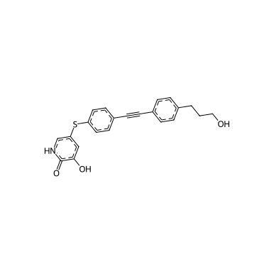 O=c1[nH]cc(Sc2ccc(C#Cc3ccc(CCCO)cc3)cc2)cc1O